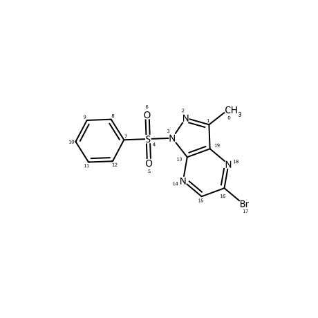 Cc1nn(S(=O)(=O)c2ccccc2)c2ncc(Br)nc12